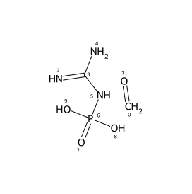 C=O.N=C(N)NP(=O)(O)O